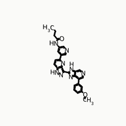 CCCC(=O)Nc1cncc(-c2ccc3[nH]nc(-c4nc5c(-c6cccc(OC)c6)cncc5[nH]4)c3n2)c1